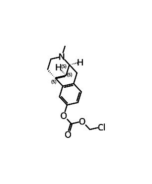 CN1CC[C@@]23CCCC[C@@H]2[C@@H]1Cc1ccc(OC(=O)OCCl)cc13